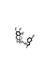 Cc1cc2cc(F)ccc2n1CCNC(=O)/C=C\c1cc(F)c(F)c(F)c1